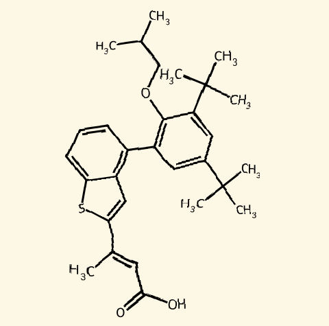 CC(=CC(=O)O)c1cc2c(-c3cc(C(C)(C)C)cc(C(C)(C)C)c3OCC(C)C)cccc2s1